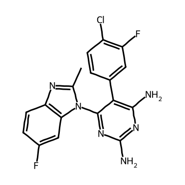 Cc1nc2ccc(F)cc2n1-c1nc(N)nc(N)c1-c1ccc(Cl)c(F)c1